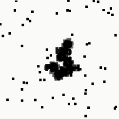 O=C(Nc1cncc(-c2cc3c(-c4nc5c(-c6cccc(F)c6)cncc5[nH]4)n[nH]c3cn2)c1)c1ccccc1